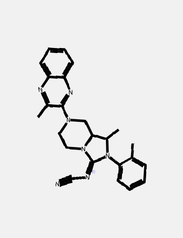 Cc1ccccc1N1/C(=N/C#N)N2CCN(c3nc4ccccc4nc3C)CC2C1C